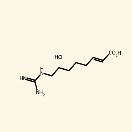 Cl.N=C(N)NCCCCCC=CC(=O)O